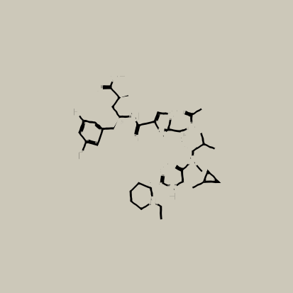 CCN1CCCC[C@@H]1C(=O)N[C@@H](CC1CC1)C(=O)N(C)[C@H](C[C@@H](OC(C)=O)c1nc(C(=O)N[C@@H](Cc2cc(F)cc(F)c2)C[C@H](C)C(=O)O)cs1)C(C)C